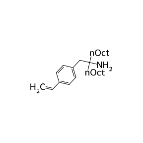 C=Cc1ccc(CC(N)(CCCCCCCC)CCCCCCCC)cc1